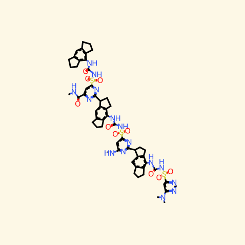 CNC(=O)c1cc(S(=O)(=O)NC(=O)Nc2c3c(cc4c2CCC4)CCC3)nc(C2CCc3c2cc2c(c3NC(=O)NS(=O)(=O)c3cc(NC)nc(C4CCc5c4cc4c(c5NC(=O)NS(=O)(=O)c5cc(N(C)C)ncn5)CCC4)n3)CCC2)n1